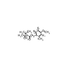 COc1c(F)c(C)c(COC(=O)C2C(C)(C)C2(C)C)c(F)c1F